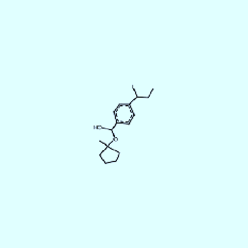 CCC(I)c1ccc(C(O)OC2(C)CCCC2)cc1